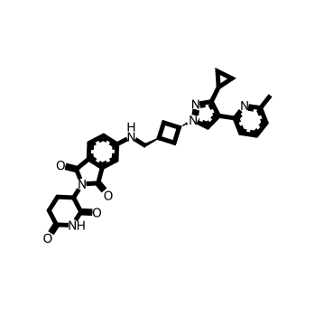 Cc1cccc(-c2cn([C@H]3C[C@H](CNc4ccc5c(c4)C(=O)N(C4CCC(=O)NC4=O)C5=O)C3)nc2C2CC2)n1